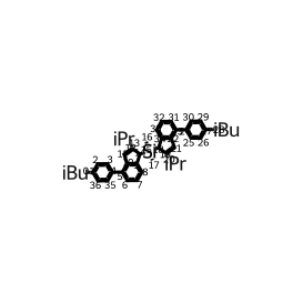 CCC(C)c1ccc(-c2cccc3c2C=C(C(C)C)C3[Si](C)(C)C2C(C(C)C)=Cc3c(-c4ccc(C(C)CC)cc4)cccc32)cc1